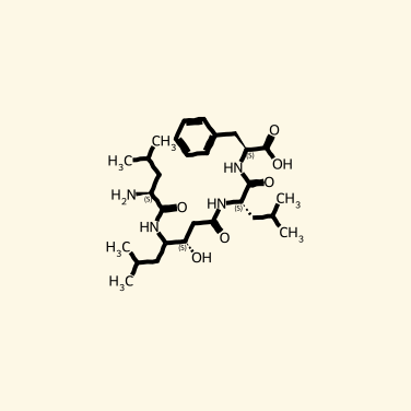 CC(C)CC(NC(=O)[C@@H](N)CC(C)C)[C@@H](O)CC(=O)N[C@@H](CC(C)C)C(=O)N[C@@H](Cc1ccccc1)C(=O)O